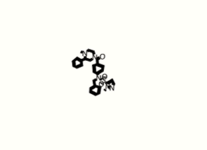 CN1CCN(C(=O)c2ccc(N(Cc3ccccc3)S(=O)(=O)c3ccnn3C)cc2)CC1c1ccccc1